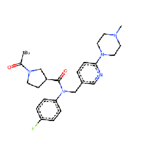 CN1CCN(c2ccc(CN(C(=O)[C@H]3CCN(C(=O)C(C)(C)C)C3)c3ccc(F)cc3)cn2)CC1